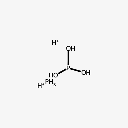 OP(O)O.P.[H+].[H+]